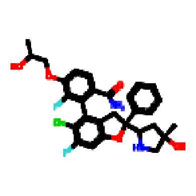 C[C@H](O)COc1ccc(C(N)=O)c(-c2c(Cl)c(F)cc3c2C[C@](c2ccccc2)(C2C[C@](C)(O)CN2)O3)c1F